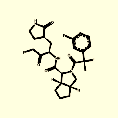 C[C@@](F)(C(=O)N1C[C@@H]2CCC[C@@H]2[C@H]1C(=O)N[C@H](C[C@H]1CCNC1=O)C(=O)CF)c1cccc(F)c1